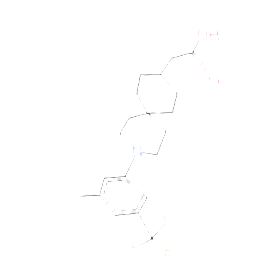 Cc1cc(N2CCC3(CCC(CC(=O)O)CC3)CC2)cc(C(F)(F)F)c1